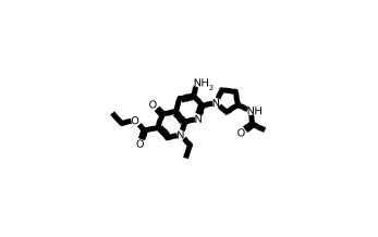 CCOC(=O)c1cn(CC)c2nc(N3CCC(NC(C)=O)C3)c(N)cc2c1=O